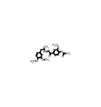 COc1ccc(CC(C)NCC(=O)c2ccc(OC(C)=O)c(SC)c2)cc1OC